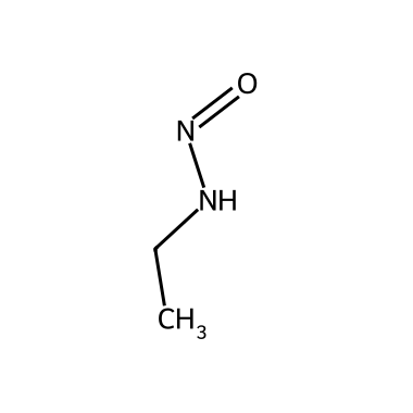 CCNN=O